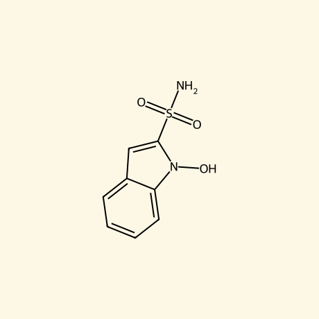 NS(=O)(=O)c1cc2ccccc2n1O